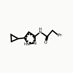 CC(C)CC(=O)Nc1cc(C2CC2)[nH]n1